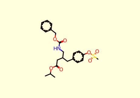 CC(C)OC(=O)CC(CNC(=O)OCc1ccccc1)Cc1ccc(OS(C)(=O)=O)cc1